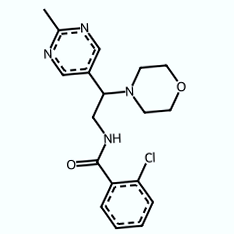 Cc1ncc(C(CNC(=O)c2ccccc2Cl)N2CCOCC2)cn1